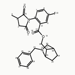 CC1CC(=O)N(c2ccc(F)cc2C(=O)OCC2C3CCC2N(Cc2ccccc2)C3)C1=O